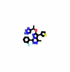 Cc1nnc(-c2ccccc2F)n2nc(OC(C)c3c[nH]nn3)c(-c3ccsc3)c12